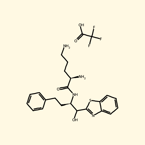 NCCC[C@@H](N)C(=O)N[C@H](CCc1ccccc1)C(O)c1nc2ccccc2s1.O=C(O)C(F)(F)F